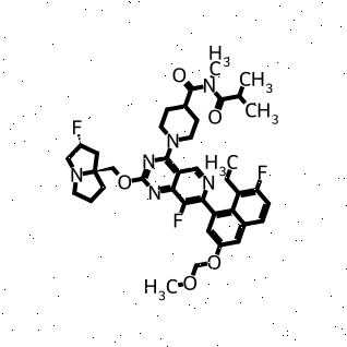 CCc1c(F)ccc2cc(OCOC)cc(-c3ncc4c(N5CCC(C(=O)N(C)C(=O)C(C)C)CC5)nc(OC[C@@]56CCCN5C[C@H](F)C6)nc4c3F)c12